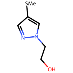 CSc1cnn(CCO)c1